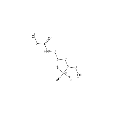 O=C(CCl)NCCCC(CO)C(F)(F)F